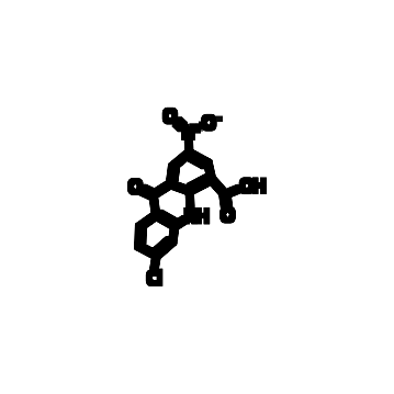 O=C(O)c1cc([N+](=O)[O-])cc2c(=O)c3ccc(Cl)cc3[nH]c12